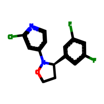 Fc1cc(F)cc([C@H]2CCON2c2ccnc(Cl)c2)c1